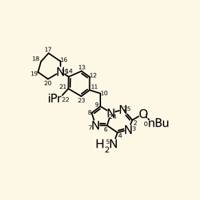 CCCCOc1nc(N)c2ncc(Cc3ccc(N4CCCCC4)c(C(C)C)c3)n2n1